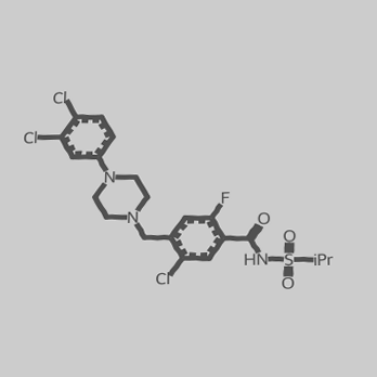 CC(C)S(=O)(=O)NC(=O)c1cc(Cl)c(CN2CCN(c3ccc(Cl)c(Cl)c3)CC2)cc1F